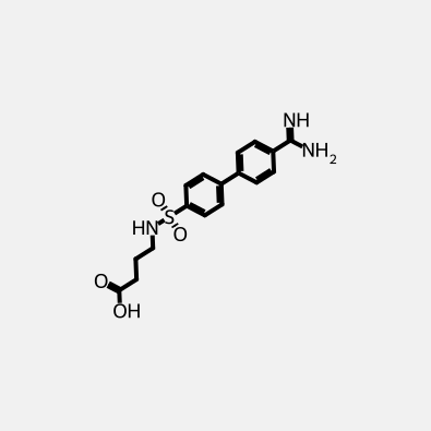 N=C(N)c1ccc(-c2ccc(S(=O)(=O)NCCCC(=O)O)cc2)cc1